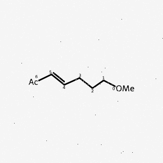 COCCC/C=C/C(C)=O